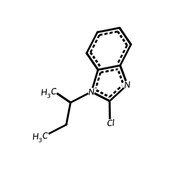 CCC(C)n1c(Cl)nc2ccccc21